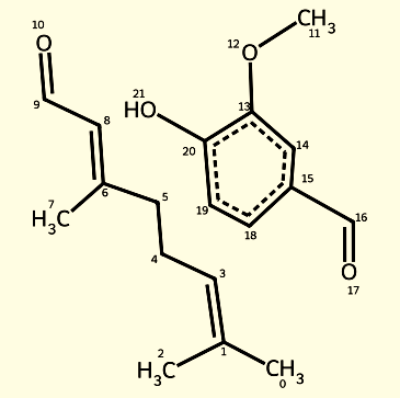 CC(C)=CCC/C(C)=C/C=O.COc1cc(C=O)ccc1O